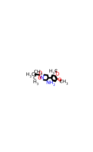 COc1ccc(C2CCN(OC(=O)C(C)(C)C)CC2N)cc1OC